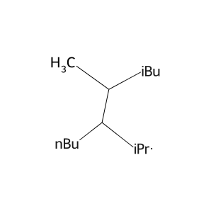 CCCCC([C](C)C)C(C)C(C)CC